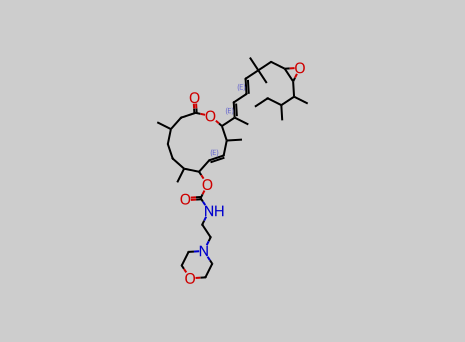 CCC(C)C(C)C1OC1CC(C)(C)/C=C/C=C(\C)C1OC(=O)CC(C)CCC(C)C(OC(=O)NCCN2CCOCC2)/C=C/C1C